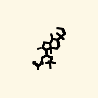 C/C=C\C(C)(C)C1=CC[C@]2(C)/C(=C(/COC(C)=O)O[Si](C)(C)C)[C@H](C)CC2C1C